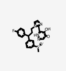 C[S+]([O-])c1cccc(C(CCn2ccnc2-c2[nH]ncc(=O)c2O)c2ccc(F)cc2)c1